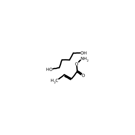 CC=CC(=O)ON.OCCCCO